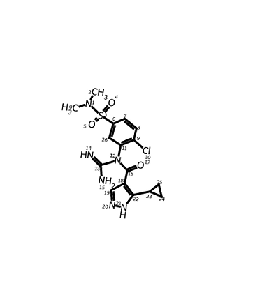 CN(C)S(=O)(=O)c1ccc(Cl)c(N(C(=N)N)C(=O)c2cn[nH]c2C2CC2)c1